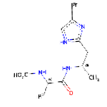 CC(C)c1c[nH]c(C[C@H](C)NC(=O)[C@@H](NC(=O)O)C(C)C)n1